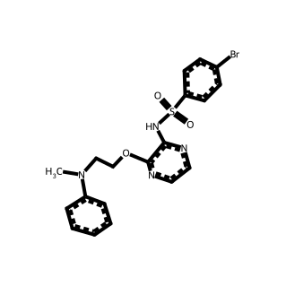 CN(CCOc1nccnc1NS(=O)(=O)c1ccc(Br)cc1)c1ccccc1